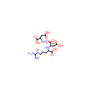 N=C(N)NCCCC(NC(CC(=O)O)C(=O)O)C(=O)O.NC(CC(=O)O)C(=O)O